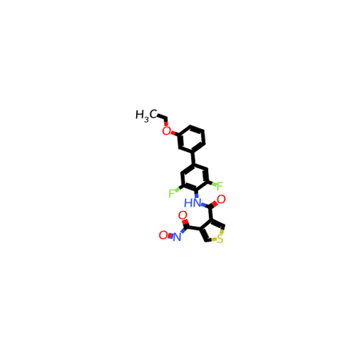 CCOc1cccc(-c2cc(F)c(NC(=O)c3cscc3C(=O)N=O)c(F)c2)c1